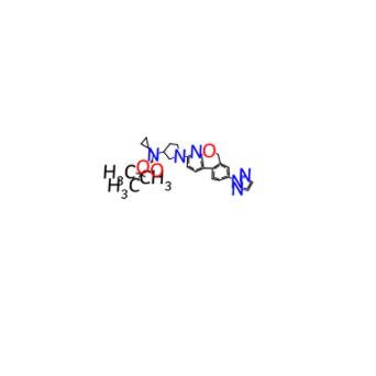 CC(C)(C)OC(=O)N(C1CC1)C1CCN(c2ccc3c(n2)OCc2cc(-n4nccn4)ccc2-3)C1